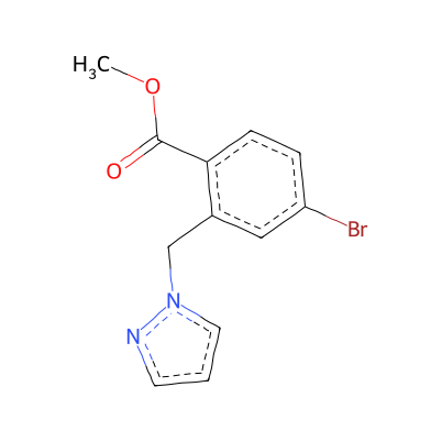 COC(=O)c1ccc(Br)cc1Cn1cccn1